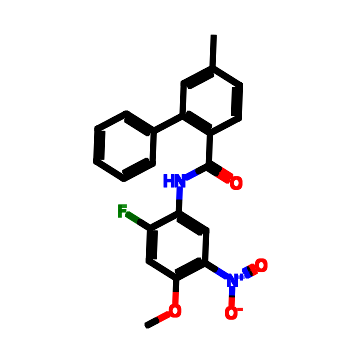 COc1cc(F)c(NC(=O)c2ccc(C)cc2-c2ccccc2)cc1[N+](=O)[O-]